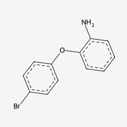 Nc1ccccc1Oc1ccc(Br)cc1